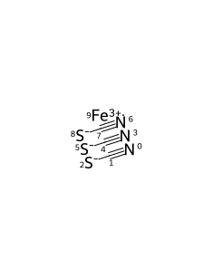 N#C[S-].N#C[S-].N#C[S-].[Fe+3]